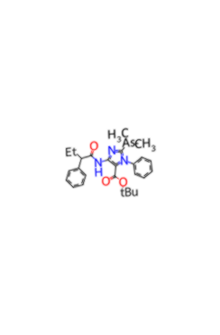 CCC(C(=O)Nc1nc([As](C)C)n(-c2ccccc2)c1C(=O)OC(C)(C)C)c1ccccc1